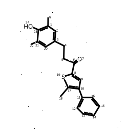 Cc1cc(CCC(=O)c2cc(-c3ccccc3)c(C)s2)cc(C)c1O